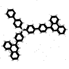 c1ccc(-c2ccc(N(c3ccc(-c4ccc(-c5cc6ccccc6c6ccccc56)cc4)cc3)c3ccc(-c4cc5ccccc5c5ccccc45)cc3)cc2)cc1